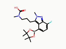 CN(CCCc1c2c(B3OC(C)(C)C(C)(C)O3)ccc(F)c2nn1C)C(=O)O